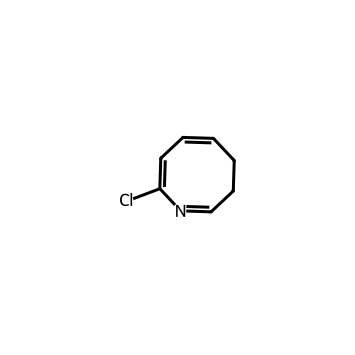 ClC1=CC=CCCC=N1